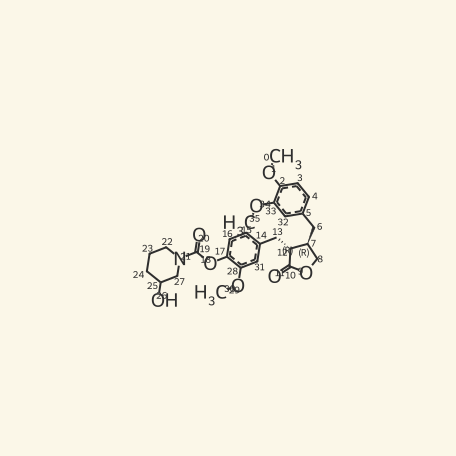 COc1ccc(C[C@H]2COC(=O)[C@@H]2Cc2ccc(OC(=O)N3CCCC(O)C3)c(OC)c2)cc1OC